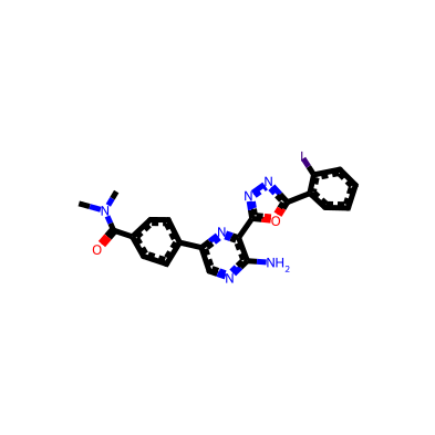 CN(C)C(=O)c1ccc(-c2cnc(N)c(-c3nnc(-c4ccccc4I)o3)n2)cc1